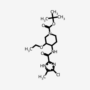 CCOC1CN(C(=O)OC(C)(C)C)CCC1NC(=O)c1nc(Cl)c(C)[nH]1